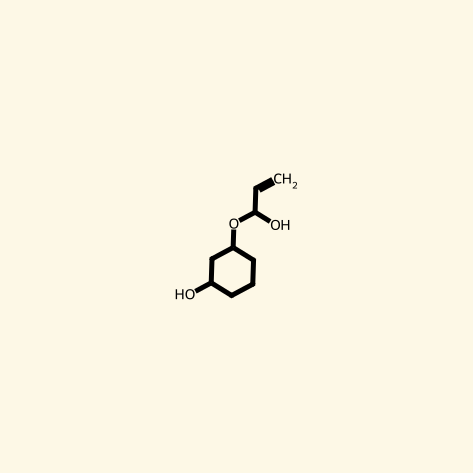 C=CC(O)OC1CCCC(O)C1